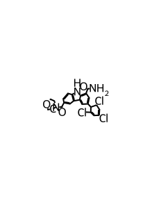 NC(=O)c1cc(C2C(Cl)=CC(Cl)=CC2Cl)cc2c1[nH]c1ccc(C(=O)N3CCOCC3)cc12